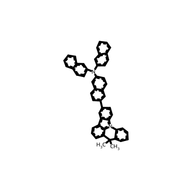 CC1(C)c2ccccc2-n2c3ccc(-c4ccc5cc(N(c6ccc7ccccc7c6)c6ccc7ccccc7c6)ccc5c4)cc3c3cccc1c32